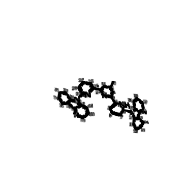 Cc1cc(C2=CC=CC(n3c4ccccc4c4ncccc43)N2)nc(-c2cccc(-n3c4ccccc4c4ncccc43)n2)c1